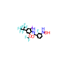 O=C(Nc1c(I)cc(C(F)(C(F)(F)F)C(F)(F)F)cc1OC(F)F)c1cccc(NO)c1F